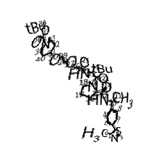 Cc1ncsc1-c1ccc([C@H](C)NC(=O)[C@@H]2CCCN2C(=O)[C@@H](NC(=O)COCCOC2CCN(C(=O)OC(C)(C)C)CC2)C(C)(C)C)cc1